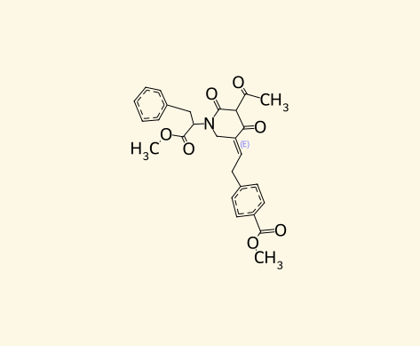 COC(=O)c1ccc(C/C=C2\CN(C(Cc3ccccc3)C(=O)OC)C(=O)C(C(C)=O)C2=O)cc1